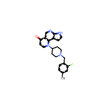 N#Cc1ccc(CN2CCC(n3ccc(=O)c4cnc5[nH]ccc5c43)CC2)c(F)c1